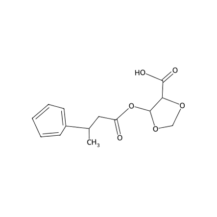 CC(CC(=O)OC1OCOC1C(=O)O)c1ccccc1